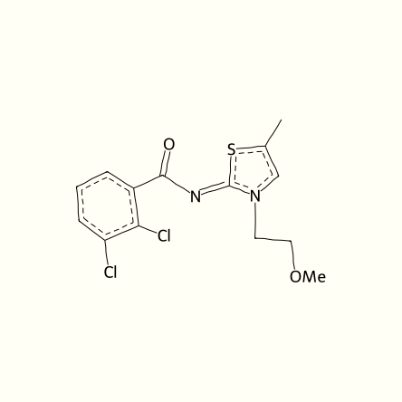 COCCn1cc(C)sc1=NC(=O)c1cccc(Cl)c1Cl